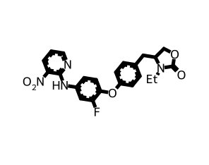 CCN1C(=O)OCC1Cc1ccc(Oc2ccc(Nc3ncccc3[N+](=O)[O-])cc2F)cc1